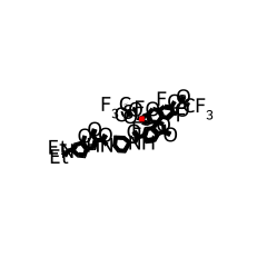 CCN(CC)c1ccc2cc(C(=O)N[C@H]3CC[C@H](NC(=O)c4ccc5c(c4)C4(OC5=O)c5cc(F)c(OS(=O)(=O)C(F)(F)F)c(F)c5Oc5c4cc(F)c(OS(=O)(=O)C(F)(F)F)c5F)CC3)c(=O)oc2c1